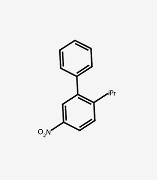 CC(C)c1ccc([N+](=O)[O-])cc1-c1ccccc1